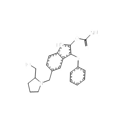 NC(=O)Oc1[nH]c2ccc(CN3CCCC3CO)cc2c1Sc1ccccc1